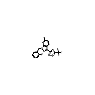 Cc1ccc2c(-c3nc(C(F)(F)F)n[nH]3)nn(Cc3ccccc3F)c2n1